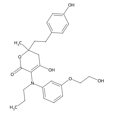 CCCN(C1=C(O)CC(C)(CCc2ccc(O)cc2)OC1=O)c1cccc(OCCO)c1